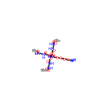 CC(C)(C)OC(=O)NCCCNC(=O)CCOCC(COCCC(=O)NCCCNC(=O)OC(C)(C)C)(COCCC(=O)NCCCNC(=O)OC(C)(C)C)NC(=O)CCOCCOCCOCCOCCN=[N+]=[N-]